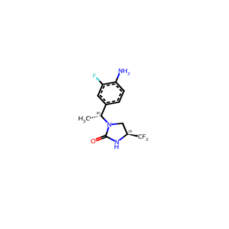 C[C@H](c1ccc(N)c(F)c1)N1C[C@@H](C(F)(F)F)NC1=O